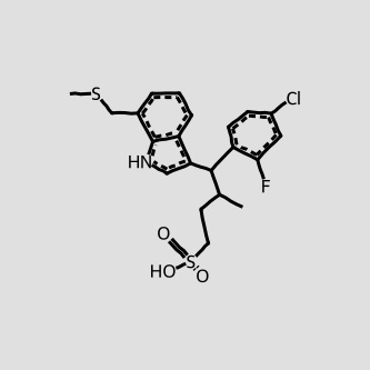 CSCc1cccc2c(C(c3ccc(Cl)cc3F)C(C)CCS(=O)(=O)O)c[nH]c12